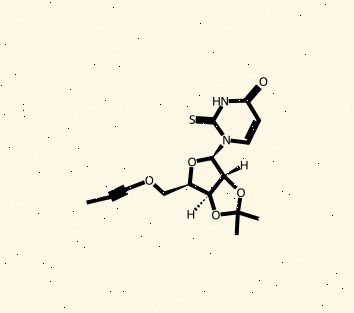 CC#COC[C@H]1O[C@@H](n2ccc(=O)[nH]c2=S)[C@@H]2OC(C)(C)O[C@H]21